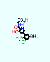 Bc1cc(Cl)c(B)c(-c2cnc(C(=O)NCC(=O)O)c(O)c2)c1